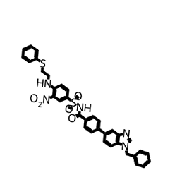 O=C(NS(=O)(=O)c1ccc(NCCSc2ccccc2)c([N+](=O)[O-])c1)c1ccc(-c2ccc3c(c2)ncn3Cc2ccccc2)cc1